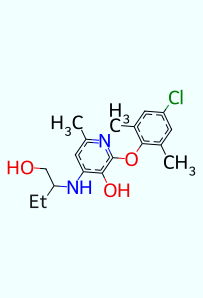 CCC(CO)Nc1cc(C)nc(Oc2c(C)cc(Cl)cc2C)c1O